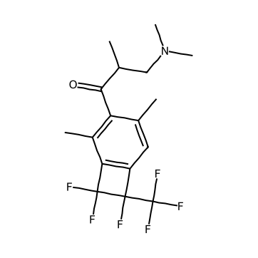 Cc1cc2c(c(C)c1C(=O)C(C)CN(C)C)C(F)(F)C2(F)C(F)(F)F